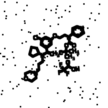 CC(C)(C)OC(=O)N(CCOc1cc(Cl)cc(C(=O)N(CCCN2CCOCC2)C2CCCC2)c1)c1ccncc1.O=C(O)C(F)(F)F